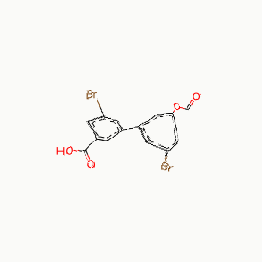 O=COc1cc(Br)cc(-c2cc(Br)cc(C(=O)O)c2)c1